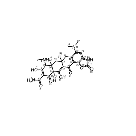 CNC1C(O)=C(C(N)=O)C(=O)[C@@]2(O)C(O)=C3C(=O)c4c(c(N(C)C)cc5[nH]c(=O)oc45)C[C@H]3C[C@@H]12